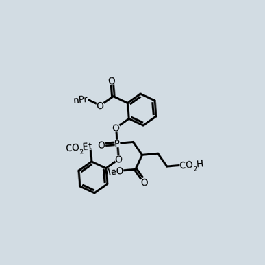 CCCOC(=O)c1ccccc1OP(=O)(CC(CCC(=O)O)C(=O)OC)Oc1ccccc1C(=O)OCC